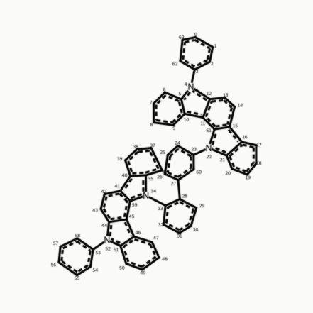 c1ccc(-n2c3ccccc3c3c2ccc2c4ccccc4n(-c4cccc(-c5ccccc5-n5c6ccccc6c6ccc7c(c8ccccc8n7-c7ccccc7)c65)c4)c23)cc1